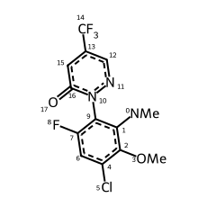 CNc1c(OC)c(Cl)cc(F)c1-n1ncc(C(F)(F)F)cc1=O